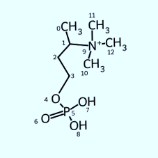 CC(CCOP(=O)(O)O)[N+](C)(C)C